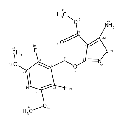 COC(=O)c1c(OCc2c(F)c(OC)cc(OC)c2F)nsc1N